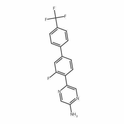 Nc1cnc(-c2ccc(-c3ccc(C(F)(F)F)cc3)cc2F)cn1